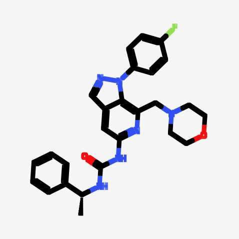 C[C@@H](NC(=O)Nc1cc2cnn(-c3ccc(F)cc3)c2c(CN2CCOCC2)n1)c1ccccc1